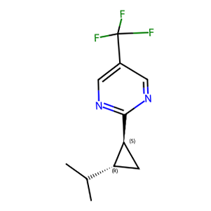 CC(C)[C@H]1C[C@@H]1c1ncc(C(F)(F)F)cn1